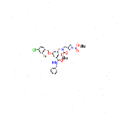 CC(C)(C)OC(=O)N(Cc1cc(OCc2ccc(Cl)cc2Br)cc(C(=O)NCc2ccccc2)c1)CC1CN(C(=O)OC(C)(C)C)C1